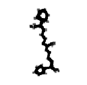 CC(CCCCC(O)CCCCC(C)c1ccccc1)c1ccccc1